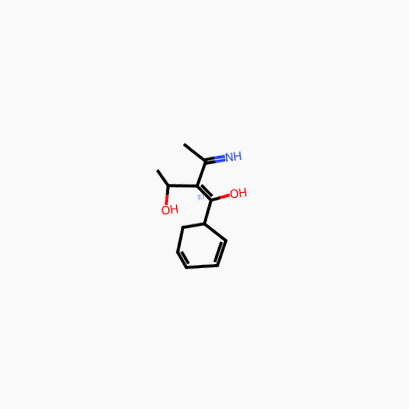 CC(=N)/C(=C(\O)C1C=CC=CC1)C(C)O